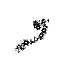 CS(=O)(=O)N1CCc2cccc(Nc3nc(Nc4ccc(N5CCC(NCCNCC6CN(c7ccc8c(c7)C(=O)N(C7CCC(=O)NC7=O)C8=O)C6)CC5)c(F)c4)nc4[nH]ccc34)c21